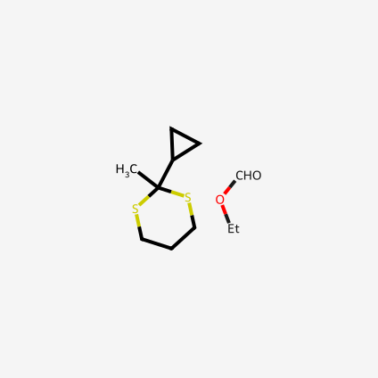 CC1(C2CC2)SCCCS1.CCOC=O